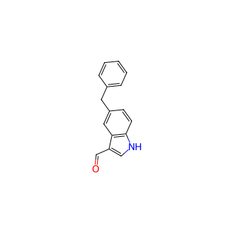 O=Cc1c[nH]c2ccc(Cc3ccccc3)cc12